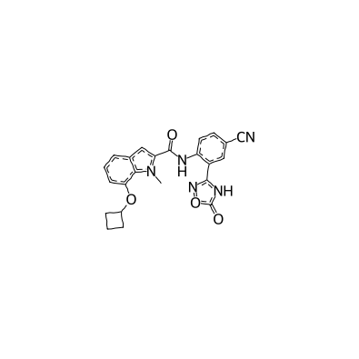 Cn1c(C(=O)Nc2ccc(C#N)cc2-c2noc(=O)[nH]2)cc2cccc(OC3CCC3)c21